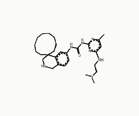 Cc1cc(NCCN(C)C)nc(NC(=O)Nc2ccc3c(c2)C2(CCCCCCCCC2)CNC3)n1